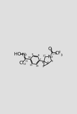 O=C(N1CC2CC2(c2ccc(C(Cl)=NO)cc2)C1)C(F)(F)F